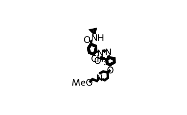 COCCN1CCC(Oc2ccc3ncn(-c4cc(C(=O)NC5CC5)ccc4C)c(=O)c3c2)CC1